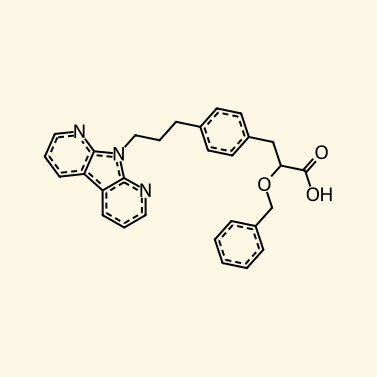 O=C(O)C(Cc1ccc(CCCn2c3ncccc3c3cccnc32)cc1)OCc1ccccc1